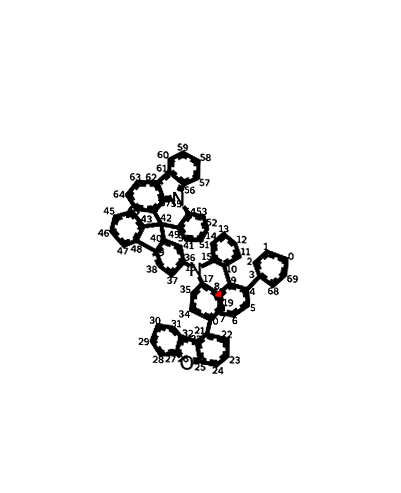 c1ccc(-c2ccccc2-c2ccccc2N(c2ccc(-c3cccc4oc5ccccc5c34)cc2)c2ccc3c(c2)C2(c4ccccc4-3)c3ccccc3-n3c4ccccc4c4cccc2c43)cc1